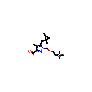 Cc1c(C(=O)O)nn(COCC[Si](C)(C)C)c1CC1(C)CC1C